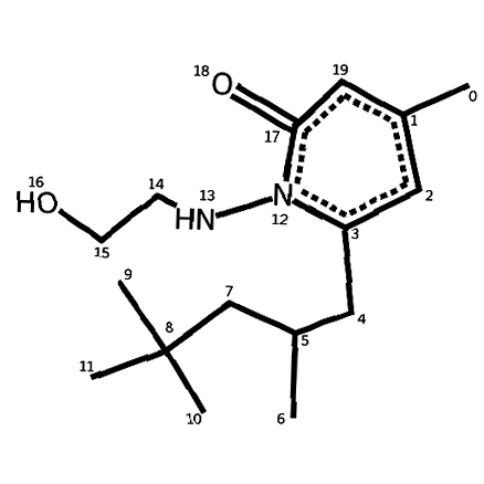 Cc1cc(CC(C)CC(C)(C)C)n(NCCO)c(=O)c1